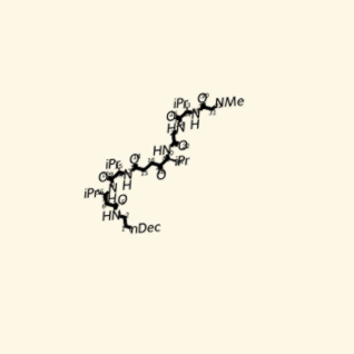 CCCCCCCCCCCCNC(=O)C[C@H](NC(=O)[C@@H](NC(=O)CCC(=O)[C@@H](NC(=O)CNC(=O)[C@@H](NC(=O)CNC)C(C)C)C(C)C)C(C)C)C(C)C